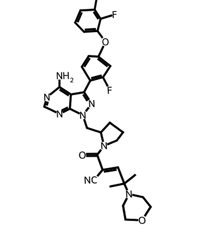 CC(C)(C=C(C#N)C(=O)N1CCCC1Cn1nc(-c2ccc(Oc3cccc(F)c3F)cc2F)c2c(N)ncnc21)N1CCOCC1